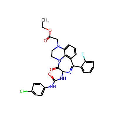 CCOC(=O)CN1CCN2C(=O)C(NC(=O)Nc3ccc(Cl)cc3)N=C(c3ccccc3F)c3cccc1c32